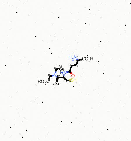 NC(CCC(=O)NC(CS)C(=[Se])N(C=[Se])CC(=O)O)C(=O)O